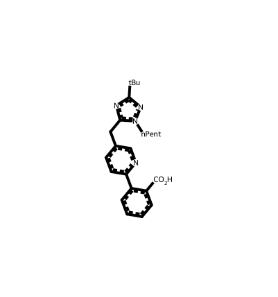 CCCCCn1nc(C(C)(C)C)nc1Cc1ccc(-c2ccccc2C(=O)O)nc1